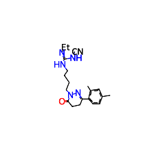 CCN=C(NC#N)NCCCCN1N=C(c2ccc(C)cc2C)CCC1=O